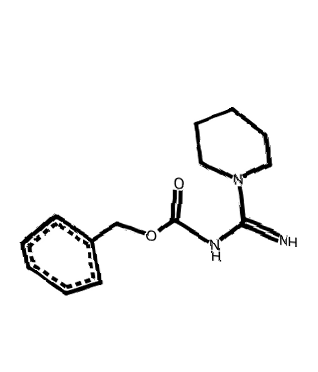 N=C(NC(=O)OCc1ccccc1)N1CCCCC1